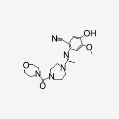 COc1cc(N=C(C)N2CCCN(C(=O)N3CCOCC3)CC2)c(C#N)cc1O